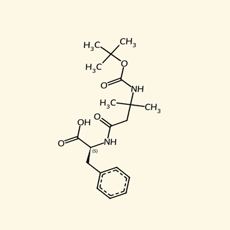 CC(C)(CC(=O)N[C@@H](Cc1ccccc1)C(=O)O)NC(=O)OC(C)(C)C